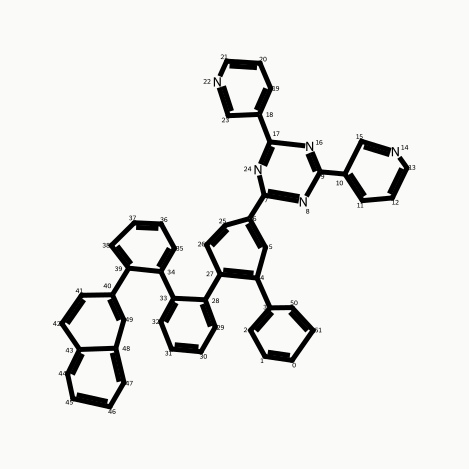 c1ccc(-c2cc(-c3nc(-c4cccnc4)nc(-c4cccnc4)n3)ccc2-c2ccccc2-c2ccccc2-c2ccc3ccccc3c2)cc1